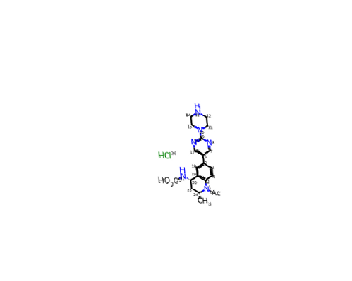 CC(=O)N1c2ccc(-c3cnc(N4CCNCC4)nc3)cc2[C@@H](NC(=O)O)C[C@H]1C.Cl